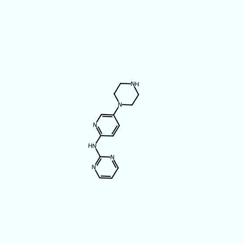 c1cnc(Nc2ccc(N3CCNCC3)cn2)nc1